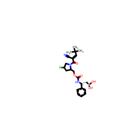 CC(C)(C)/C=C(\C#N)C(=O)N1CC(F)CC1COC(=O)N[C@H](CB(O)O)c1ccccc1